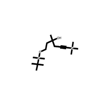 CC(O)(CC#C[Si](C)(C)C)CCO[Si](C)(C)C(C)(C)C